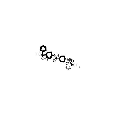 CC(C)S(=O)(=O)N[C@H]1CC[C@H](C(=O)Nc2ccc(C(C)(O)c3ccccc3)cc2)CC1